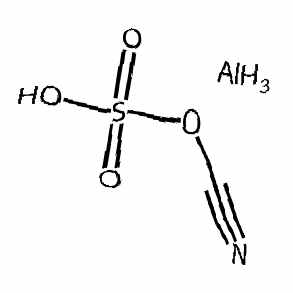 N#COS(=O)(=O)O.[AlH3]